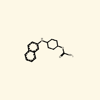 NC(=O)OC1CCC(Nc2ccc3ccccc3c2)CC1